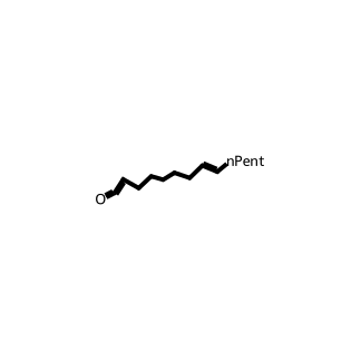 CCCCC/C=C/CCCCCC=C=O